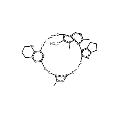 Cc1ccc2c3c(C(=O)O)n(C)c2c1-c1c(nn2c1CCC2)CSCc1cc(n(C)n1)CSc1cc2c(c(c1)OCCC3)NCCC2